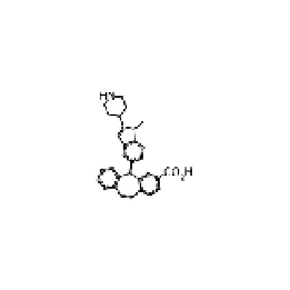 CC1C(C2CCNCC2)=Cc2cc(C3c4ccccc4C=Cc4ccc(C(=O)O)cc43)ccc21